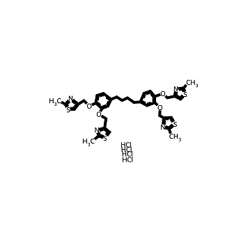 Cc1nc(COc2ccc(CCCCc3ccc(OCc4csc(C)n4)c(OCc4csc(C)n4)c3)cc2OCc2csc(C)n2)cs1.Cl.Cl.Cl.Cl